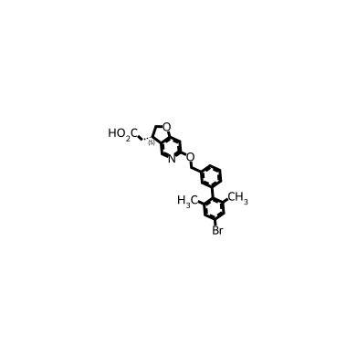 Cc1cc(Br)cc(C)c1-c1cccc(COc2cc3c(cn2)[C@H](CC(=O)O)CO3)c1